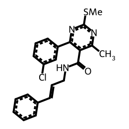 CSc1nc(C)c(C(=O)NC/C=C/c2ccccc2)c(-c2cccc(Cl)c2)n1